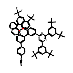 CC(C)(C)c1cc(-c2nc(-c3cc(C(C)(C)C)cc(C(C)(C)C)c3)nc(-c3ccc(-n4c5ccccc5c5cc(C(F)(F)F)ccc54)c(-c4cc(-c5ccc(C#N)cc5)ccc4-n4c5ccccc5c5cc(C(F)(F)F)ccc54)c3)n2)cc(C(C)(C)C)c1